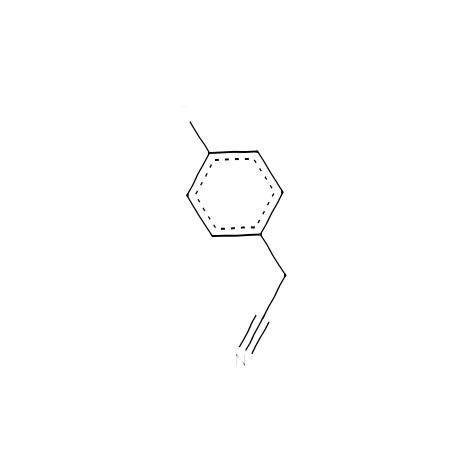 N#C[CH]c1ccc(F)cc1